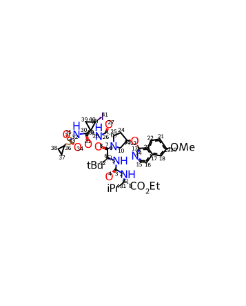 CCOC(=O)[C@@H](NC(=O)N[C@H](C(=O)N1C[C@H](Oc2nccc3cc(OC)ccc23)C[C@H]1C(=O)N[C@]1(C(=O)NS(=O)(=O)C2CC2)C[C@H]1I)C(C)(C)C)C(C)C